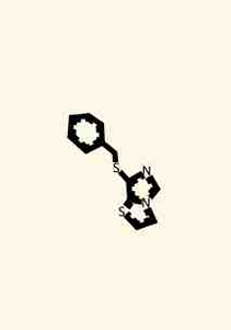 c1ccc(CSc2ncn3ccsc23)cc1